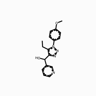 CCc1c(C(O)c2cccnc2)nnn1-c1ccc(OC)cc1